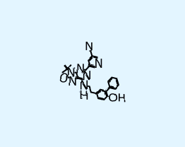 CC1(C)COc2nc3c(NCCc4ccc(O)c(-c5ccccc5)c4)nc(-c4cncc(C#N)c4)nc3n21